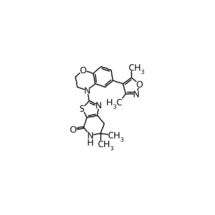 Cc1noc(C)c1-c1ccc2c(c1)N(c1nc3c(s1)C(=O)NC(C)(C)C3)CCO2